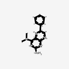 CN(C)c1nc([AsH2])nc2ncc(-c3ccccc3)nc12